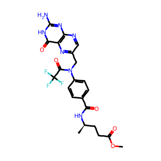 COC(=O)CC[C@@H](C)NC(=O)c1ccc(N(Cc2cnc3nc(N)[nH]c(=O)c3n2)C(=O)C(F)(F)F)cc1